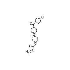 COC(=O)CN1CCN(N2CCC(C(=O)c3ccc(Cl)cc3)CC2)CC1